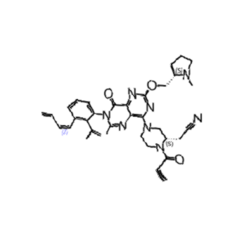 C=C/C=C\c1cccc(-n2c(C)nc3c(N4CCN(C(=O)C=C)[C@@H](CC#N)C4)nc(OC[C@@H]4CCCN4C)nc3c2=O)c1C(=C)C